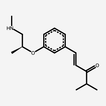 CNC[C@H](C)Oc1cccc(/C=C/C(=O)C(C)C)c1